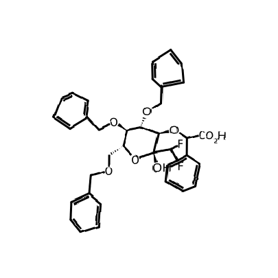 O=C(O)C(O[C@@H]1[C@@H](OCc2ccccc2)[C@H](OCc2ccccc2)[C@@H](COCc2ccccc2)O[C@@]1(O)C(F)F)c1ccccc1